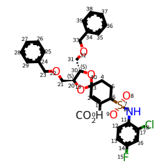 O=C(O)C1=CC2(CCC1S(=O)(=O)Nc1ccc(F)cc1Cl)O[C@@H](COCc1ccccc1)[C@H](COCc1ccccc1)O2